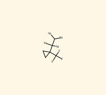 [2H][C]([2H])C([2H])([2H])C1(C(F)(F)F)CC1